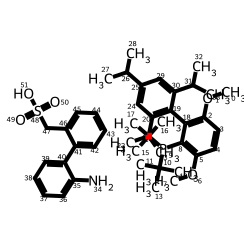 COc1ccc(OC)c(P(C(C)(C)C)C(C)(C)C)c1-c1c(C(C)C)cc(C(C)C)cc1C(C)C.Nc1ccccc1-c1ccccc1CS(=O)(=O)O